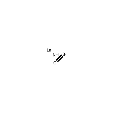 N.[B]=O.[La]